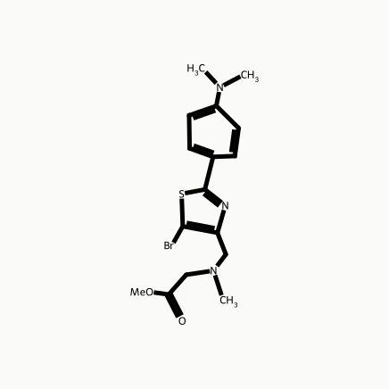 COC(=O)CN(C)Cc1nc(-c2ccc(N(C)C)cc2)sc1Br